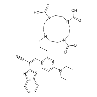 CCN(CC)c1ccc(C=C(C#N)c2nc3ccccc3s2)c(CCCN2CCN(C(=O)O)CCN(C(=O)O)CCN(C(=O)O)CC2)c1